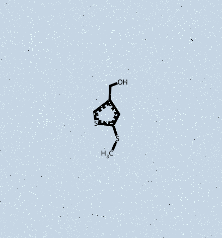 CSc1cc(CO)cs1